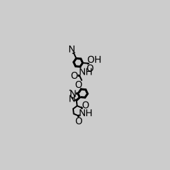 Cn1nc(C2CCC(=O)NC2=O)c2cccc(OCC(=O)Nc3ccc(C#N)cc3C(=O)O)c21